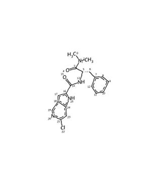 CN(C)C(=O)[C@H](Cc1ccccc1)NC(=O)c1cc2cnc(Cl)cc2[nH]1